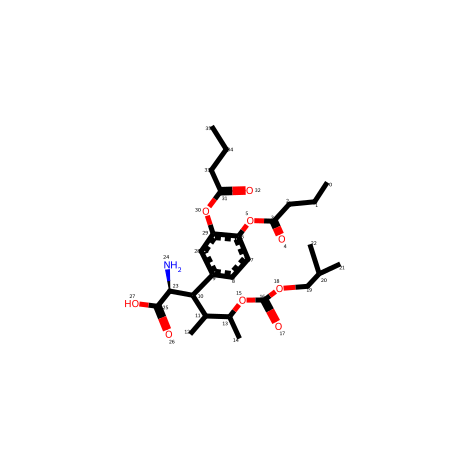 CCCC(=O)Oc1ccc(C(C(C)C(C)OC(=O)OCC(C)C)[C@H](N)C(=O)O)cc1OC(=O)CCC